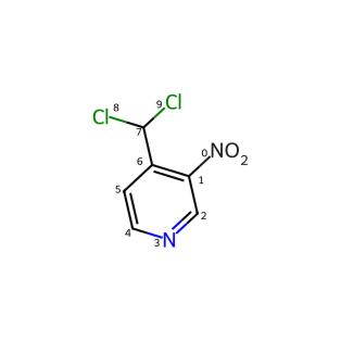 O=[N+]([O-])c1cnccc1C(Cl)Cl